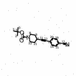 CC(C)(C)OC(=O)N1CCC(C#Cc2ccc(C#N)cc2)CC1